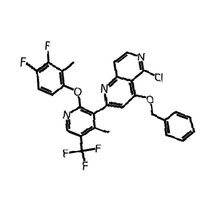 Cc1c(Oc2ncc(C(F)(F)F)c(C)c2-c2cc(OCc3ccccc3)c3c(Cl)nccc3n2)ccc(F)c1F